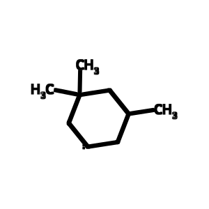 CC1C[C]CC(C)(C)C1